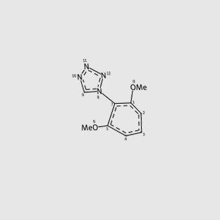 COc1cccc(OC)c1-n1cnnn1